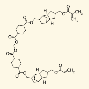 C=CC(=O)OCC1C[C@@H]2C3CC(CC3COC(=O)C3CCC(C(=O)OCOC(=O)C4CCC(C(=O)OCC5CC6CC5[C@H]5CC(COC(=O)C(=C)C)C[C@@H]65)CC4)CC3)[C@@H]2C1